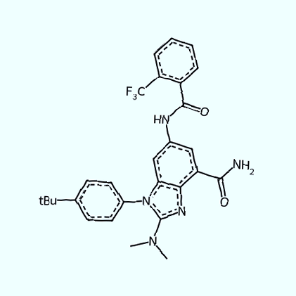 CN(C)c1nc2c(C(N)=O)cc(NC(=O)c3ccccc3C(F)(F)F)cc2n1-c1ccc(C(C)(C)C)cc1